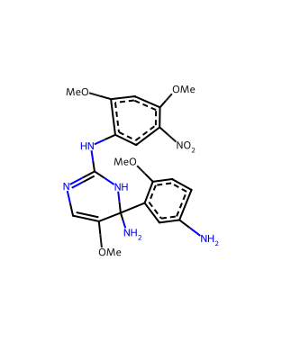 COC1=CN=C(Nc2cc([N+](=O)[O-])c(OC)cc2OC)NC1(N)c1cc(N)ccc1OC